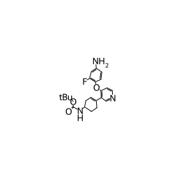 CC(C)(C)OC(=O)NC1CC=C(c2cnccc2Oc2ccc(N)cc2F)CC1